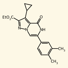 CCOC(=O)c1nn2cc(-c3ccc(C)c(C)c3)[nH]c(=O)c2c1C1CC1